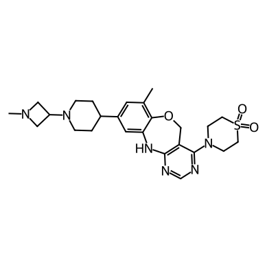 Cc1cc(C2CCN(C3CN(C)C3)CC2)cc2c1OCc1c(ncnc1N1CCS(=O)(=O)CC1)N2